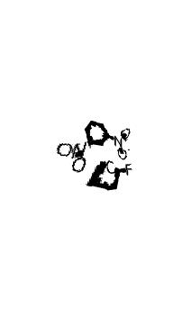 Fc1ccccc1.O=[N+]([O-])c1cccc([N+](=O)[O-])c1